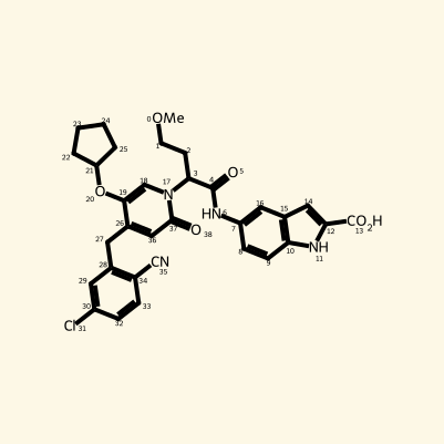 COCCC(C(=O)Nc1ccc2[nH]c(C(=O)O)cc2c1)n1cc(OC2CCCC2)c(Cc2cc(Cl)ccc2C#N)cc1=O